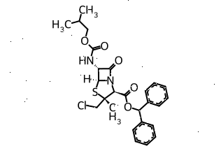 CC(C)COC(=O)N[C@@H]1C(=O)N2[C@@H](C(=O)OC(c3ccccc3)c3ccccc3)[C@](C)(CCl)S[C@@H]12